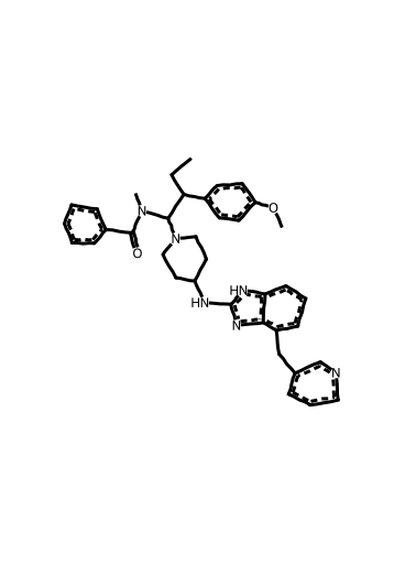 CCC(c1ccc(OC)cc1)C(N1CCC(Nc2nc3c(Cc4cccnc4)cccc3[nH]2)CC1)N(C)C(=O)c1ccccc1